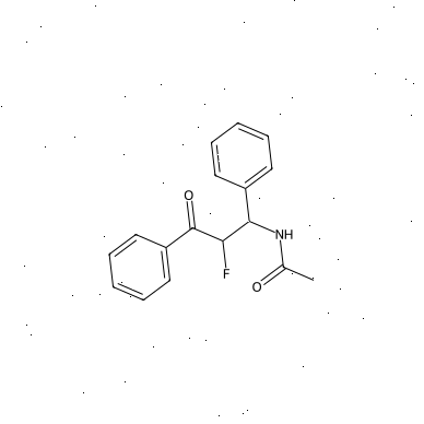 CC(=O)NC(c1ccccc1)C(F)C(=O)c1ccccc1